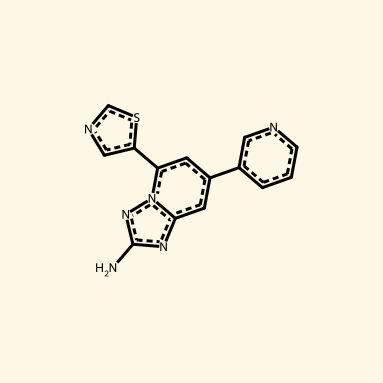 Nc1nc2cc(-c3cccnc3)cc(-c3cncs3)n2n1